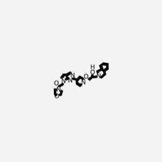 O=C(Cn1ccc2cnc(-c3ccnc(OCC(O)CN4CCc5ccccc5C4)c3)nc21)N1CCOCC1